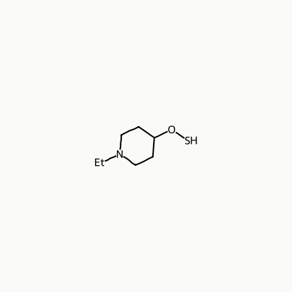 CCN1CCC(OS)CC1